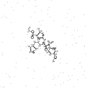 CCOC(=O)c1nc(CN(CCCc2ccsc2)C(=O)C2(c3ccc(OC)cn3)CC2)sc1C